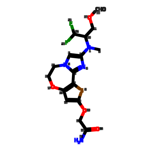 CN(c1cn2c(n1)-c1sc(OCC(N)=O)cc1OCC2)C(COC=O)C(F)F